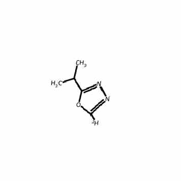 [2H]c1nnc(C(C)C)o1